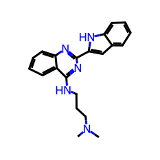 CN(C)CCCNc1nc(-c2cc3ccccc3[nH]2)nc2ccccc12